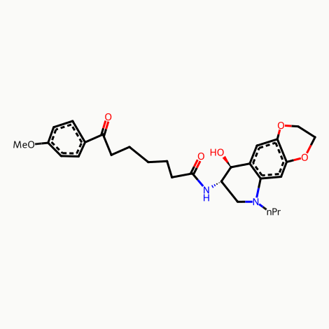 CCCN1C[C@H](NC(=O)CCCCCC(=O)c2ccc(OC)cc2)[C@@H](O)c2cc3c(cc21)OCCO3